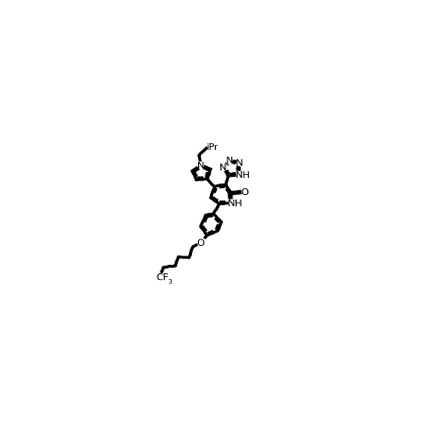 CC(C)Cn1ccc(-c2cc(-c3ccc(OCCCCCC(F)(F)F)cc3)[nH]c(=O)c2-c2nnn[nH]2)c1